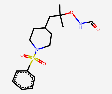 CC(C)(CC1CCN(S(=O)(=O)c2ccccc2)CC1)ONC=O